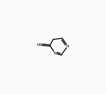 N=C1CC=NC=N1